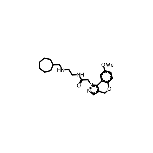 COc1ccc2c(c1)-c1c(cnn1CC(=O)NCCNCC1CCCCCC1)CO2